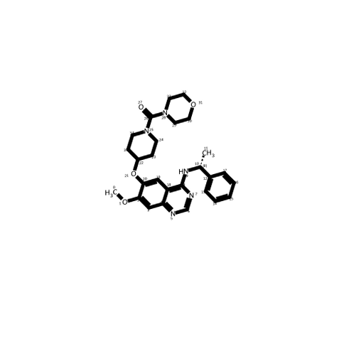 COc1cc2ncnc(N[C@H](C)c3ccccc3)c2cc1OC1CCN(C(=O)N2CCOCC2)CC1